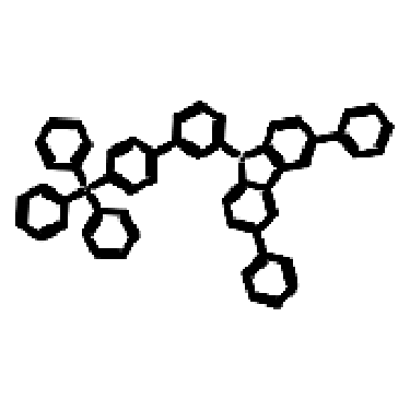 c1ccc(-c2ccc3c(c2)c2cc(-c4ccccc4)ccc2n3-c2cccc(-c3ccc(S(c4ccccc4)(c4ccccc4)c4ccccc4)cc3)c2)cc1